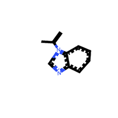 C=C(C)n1cnc2ccccc21